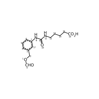 O=COCc1cccc(NC(=O)NCCCCC(=O)O)c1